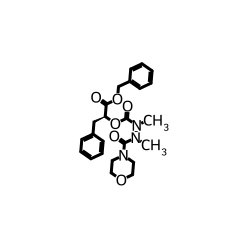 CN(C(=O)O[C@@H](Cc1ccccc1)C(=O)OCc1ccccc1)N(C)C(=O)N1CCOCC1